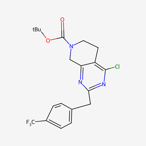 CC(C)(C)OC(=O)N1CCc2c(Cl)nc(Cc3ccc(C(F)(F)F)cc3)nc2C1